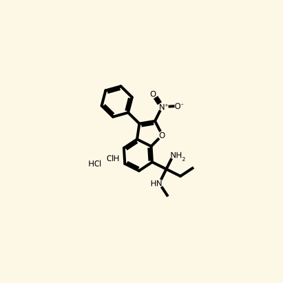 CCC(N)(NC)c1cccc2c(-c3ccccc3)c([N+](=O)[O-])oc12.Cl.Cl